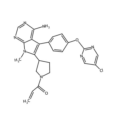 C=CC(=O)N1CCC(c2c(-c3ccc(Oc4ncc(Cl)cn4)cc3)c3c(N)ncnc3n2C)C1